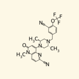 C[C@@H]1CN(c2cc(=O)n(C)c3ccc(C#N)nc23)[C@@H](C)CN1Cc1ccc(OC(F)(F)F)c(C#N)c1